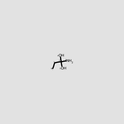 [CH2]CC(N)(O)O